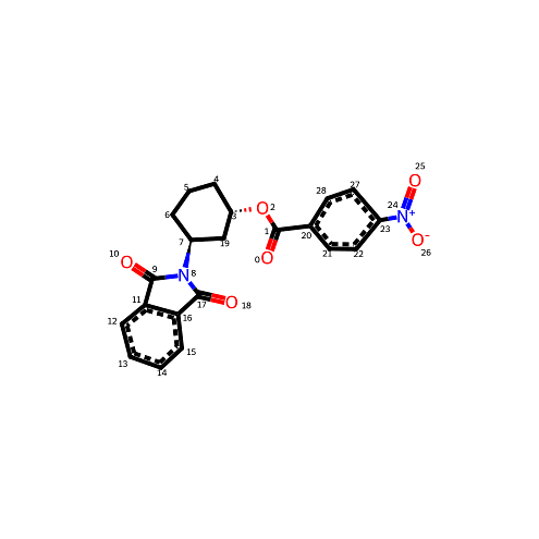 O=C(O[C@H]1CCC[C@H](N2C(=O)c3ccccc3C2=O)C1)c1ccc([N+](=O)[O-])cc1